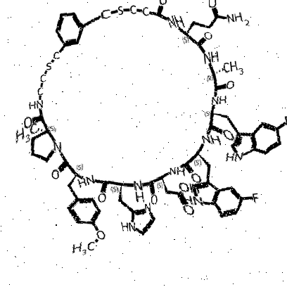 COc1ccc(C[C@@H]2NC(=O)[C@H](Cc3ncc[nH]3)NC(=O)[C@H](CC(=O)O)NC(=O)[C@H](Cc3c[nH]c4ccc(F)cc34)NC(=O)[C@H](Cc3c[nH]c4ccc(F)cc34)NC(=O)[C@@H](C)NC(=O)[C@H](CCC(N)=O)NC(=O)CCSCc3cccc(c3)CSCCNC(=O)[C@]3(C)CCCN3C2=O)cc1